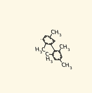 Cc1cc(C)c(-c2cc(C)c[c]c2C)c(C)c1